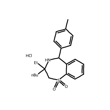 CCCCC1(CC)CS(=O)(=O)c2ccccc2C(c2ccc(C)cc2)N1.Cl